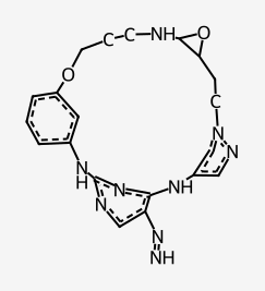 N=Nc1cnc2nc1Nc1cnn(c1)CCC1OC1NCCCOc1cccc(c1)N2